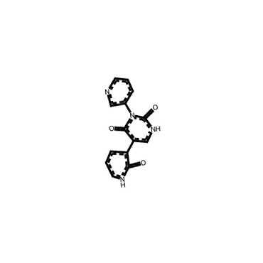 O=c1[nH]cccc1-c1c[nH]c(=O)n(-c2cccnc2)c1=O